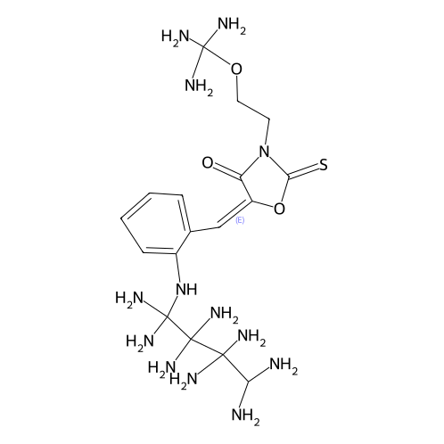 NC(N)C(N)(N)C(N)(N)C(N)(N)Nc1ccccc1/C=C1/OC(=S)N(CCOC(N)(N)N)C1=O